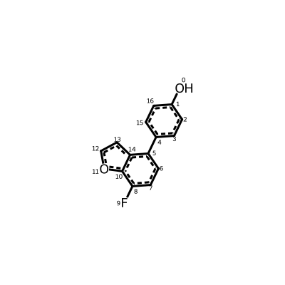 Oc1ccc(-c2ccc(F)c3occc23)cc1